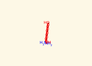 NC(N)(O)COCCOCCOCCOCCOCCOCCOCCOCCOCCO